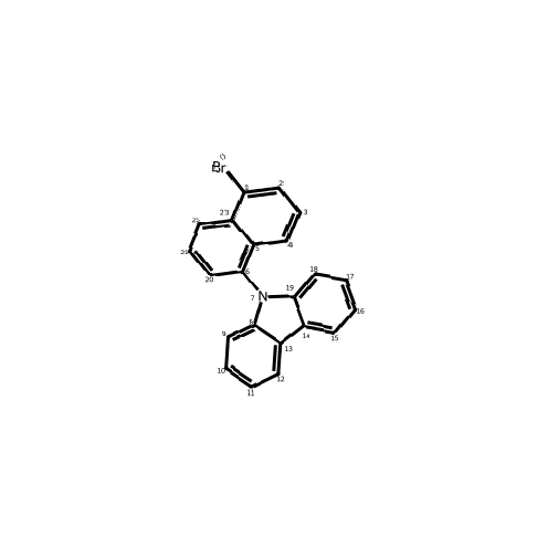 Brc1cccc2c(-n3c4ccccc4c4ccccc43)cccc12